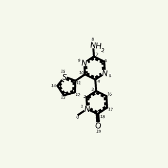 Cn1cc(-c2ncc(N)nc2-c2cccs2)ccc1=O